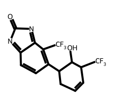 O=C1N=c2ccc(C3CC=CC(C(F)(F)F)C3O)c(C(F)(F)F)c2=N1